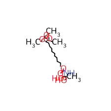 CCO[Si](CCCCCCCCCCCOC(=O)NC(C)(CO)CO)(OCC)OCC